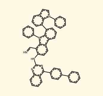 N=Cc1c(Nc2nc(-c3ccc(-c4ccccc4)cc3)c3ccccc3n2)ccc2c3cccc(-c4cccc5ccn(-c6ccccc6)c45)c3n(-c3ccccc3)c12